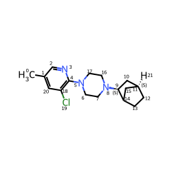 Cc1cnc(N2CCN([C@H]3C[C@H]4CCC3C4)CC2)c(Cl)c1